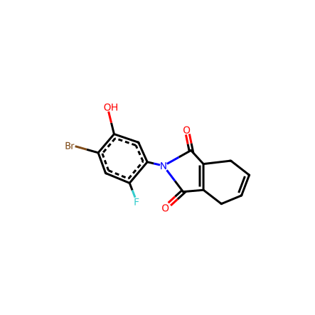 O=C1C2=C(CC=CC2)C(=O)N1c1cc(O)c(Br)cc1F